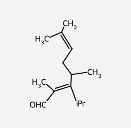 CC(C)=CCC(C)/C(=C(\C)C=O)C(C)C